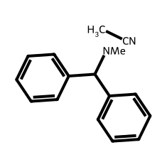 CC#N.CNC(c1ccccc1)c1ccccc1